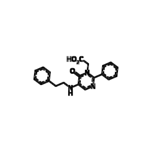 O=C(O)Cn1c(-c2ccccc2)ncc(NCCc2ccccc2)c1=O